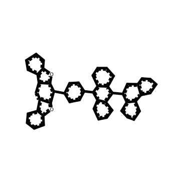 c1ccc2c(c1)cc(-c1c3ccccc3c(-c3ccc(-c4c5oc6ccccc6c5cc5c4oc4ccccc45)cc3)c3ccccc13)c1ccccc12